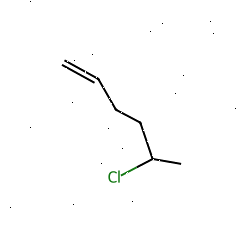 C=CCCC(C)Cl